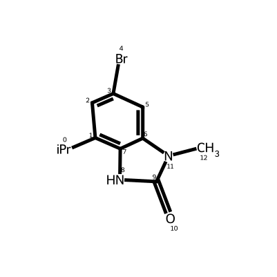 CC(C)c1cc(Br)cc2c1[nH]c(=O)n2C